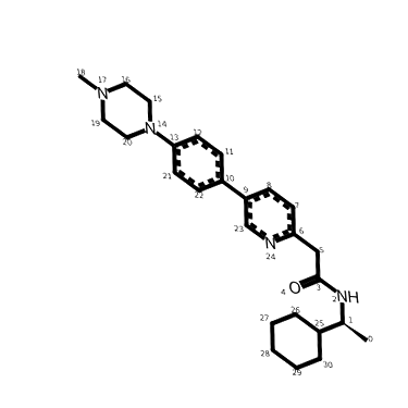 C[C@H](NC(=O)Cc1ccc(-c2ccc(N3CCN(C)CC3)cc2)cn1)C1CCCCC1